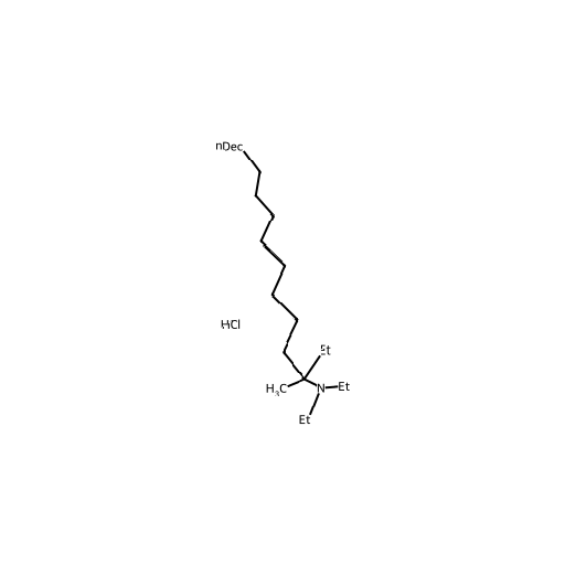 CCCCCCCCCCCCCCCCCCC(C)(CC)N(CC)CC.Cl